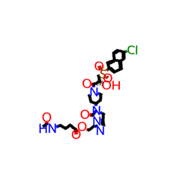 CC(=O)NCCCC(=O)OCc1ncc2n1C(=O)N(C1CCN(C(=O)[C@H](O)CS(=O)(=O)c3ccc4cc(Cl)ccc4c3)CC1)C2